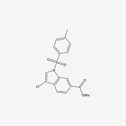 COC(=O)c1ccc2c(Cl)cn(S(=O)(=O)c3ccc(C)cc3)c2c1